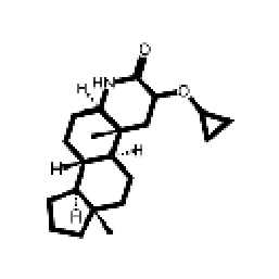 C[C@@]12CCC[C@H]1[C@@H]1CC[C@H]3NC(=O)C(OC4CC4)C[C@]3(C)[C@H]1CC2